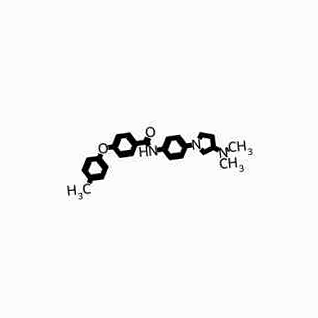 Cc1ccc(Oc2ccc(C(=O)Nc3ccc(N4CCC(N(C)C)C4)cc3)cc2)cc1